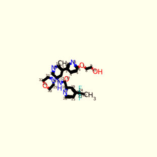 CC1=C(c2ccc(OCCO)nc2)CC(NC(=O)c2cc(C(C)(F)F)ccn2)(N2CCOCC2)C=N1